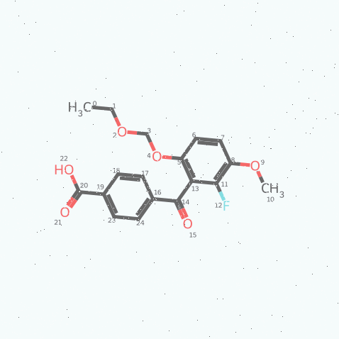 CCOCOc1ccc(OC)c(F)c1C(=O)c1ccc(C(=O)O)cc1